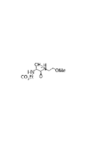 CCOC(=O)NC(C)C(=O)NCCOC